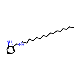 CCCCCCCCCCCCCCCCNCc1ccccc1N